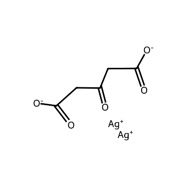 O=C([O-])CC(=O)CC(=O)[O-].[Ag+].[Ag+]